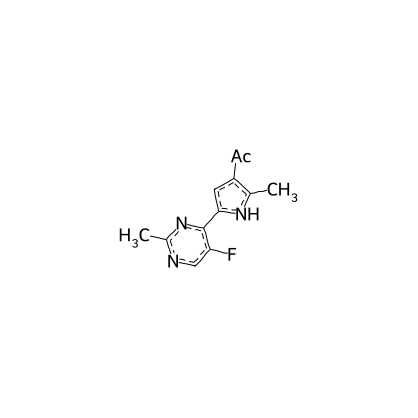 CC(=O)c1cc(-c2nc(C)ncc2F)[nH]c1C